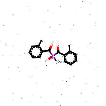 CCCCCCCCP(=O)(C(=O)c1ccccc1C)C(=O)c1ccccc1C